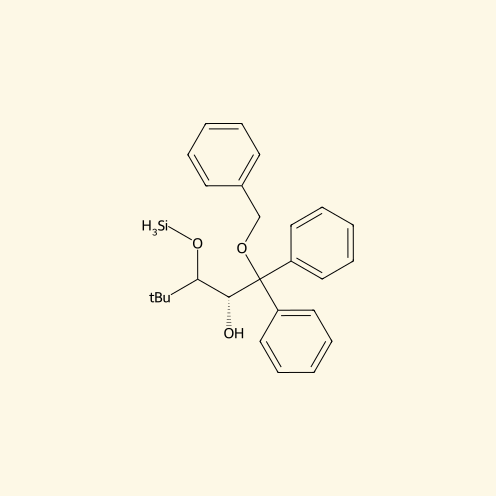 CC(C)(C)C(O[SiH3])[C@@H](O)C(OCc1ccccc1)(c1ccccc1)c1ccccc1